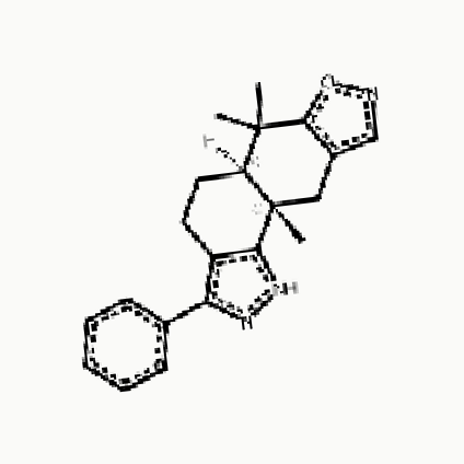 CC1(C)c2oncc2C[C@]2(C)c3[nH]nc(-c4ccccc4)c3CC[C@@H]12